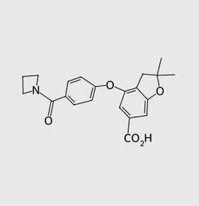 CC1(C)Cc2c(Oc3ccc(C(=O)N4CCC4)cc3)cc(C(=O)O)cc2O1